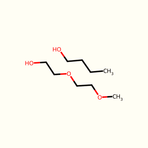 CCCCO.COCCOCCO